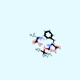 CC(C)(C)OC(=O)N[C@@H](Cc1ccccc1)C(=O)O.C[C@H](N)C(=O)O